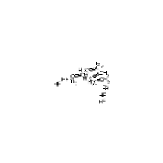 C=C.C=C.C=C.C=C.F.F.F.F.F